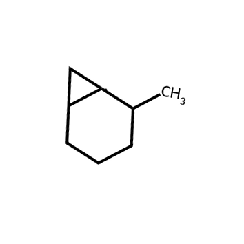 CC1CCCC2C[C]12